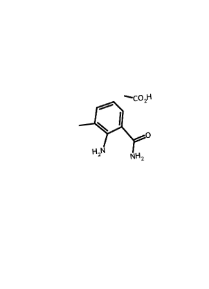 CC(=O)O.Cc1cccc(C(N)=O)c1N